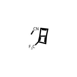 CC#N.FC(F)(F)c1cc2ccc1-2